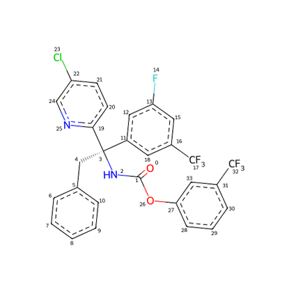 O=C(N[C@](Cc1ccccc1)(c1cc(F)cc(C(F)(F)F)c1)c1ccc(Cl)cn1)Oc1cccc(C(F)(F)F)c1